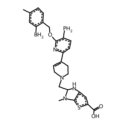 Bc1cc(C)ccc1COc1nc(C2=CCN(CC3Nc4cc(C(=O)O)sc4N3C)CC2)ccc1P